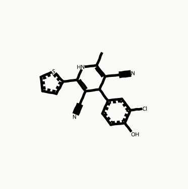 CC1=C(C#N)C(c2ccc(O)c(Cl)c2)C(C#N)=C(c2cccs2)N1